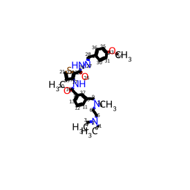 CCN(CC)CCN(C)Cc1cccc(C(=O)Nc2c(C)csc2C(=O)NN=Cc2ccc(OC)cc2)c1